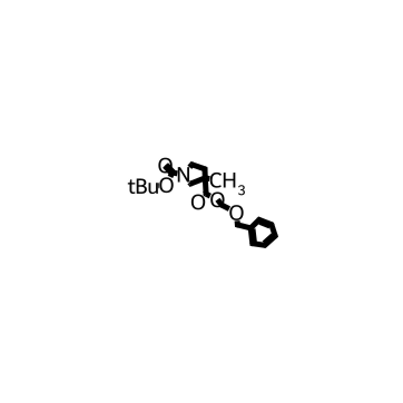 CC(C)(C)OC(=O)N1CCC(C)(C(=O)OCOCc2ccccc2)C1